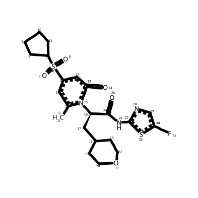 Cc1cc(S(=O)(=O)C2CCCC2)cc(=O)n1[C@H](CC1CCOCC1)C(=O)Nc1ncc(F)s1